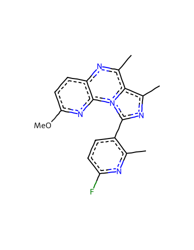 COc1ccc2nc(C)c3c(C)nc(-c4ccc(F)nc4C)n3c2n1